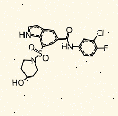 O=C(Nc1ccc(F)c(Cl)c1)c1cc(S(=O)(=O)N2CCC(O)CC2)c2[nH]ccc2c1